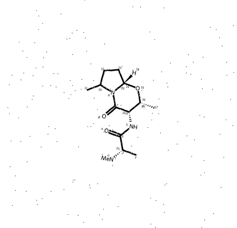 CN[C@@H](C)C(=O)N[C@@H]1C(=O)N2C(C)CC[C@@H]2O[C@@H]1C